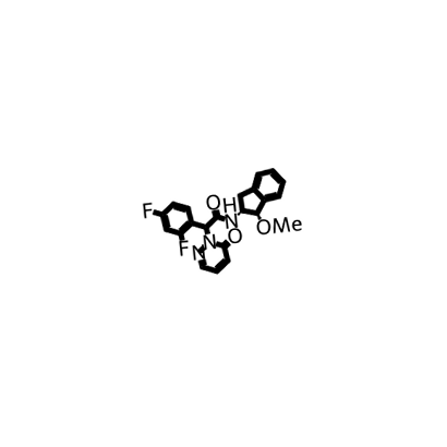 CO[C@@H]1c2ccccc2C[C@H]1NC(=O)C(c1ccc(F)cc1F)n1ncccc1=O